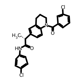 C[C@@H](C(=O)Nc1ccc(Cl)cc1)c1ccc2c(c1)CCCN2C(=O)c1cccc(Cl)c1